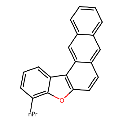 CCCc1cccc2c1oc1ccc3cc4ccccc4cc3c12